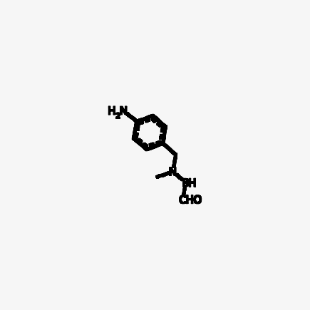 CN(BC=O)Cc1ccc(N)cc1